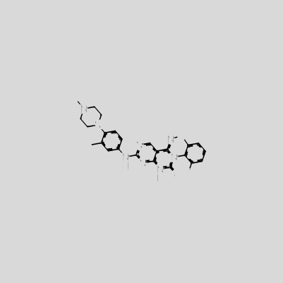 C/N=c1/c2cnc(Nc3ccc(N4CCN(C)CC4)c(C)c3)nc2[nH]c(=O)n1-c1c(C)cccc1Cl